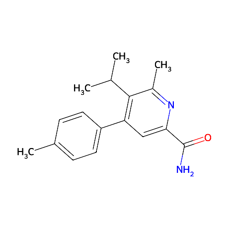 Cc1ccc(-c2cc(C(N)=O)nc(C)c2C(C)C)cc1